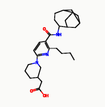 CCCCc1nc(N2CCCC(CC(=O)O)C2)ccc1C(=O)NC1CCC2CC3CC2CC1C3